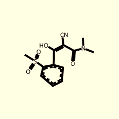 CN(C)C(=O)C(C#N)=C(O)c1ccccc1S(C)(=O)=O